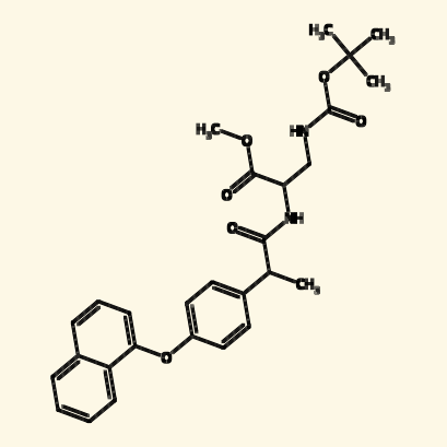 COC(=O)C(CNC(=O)OC(C)(C)C)NC(=O)C(C)c1ccc(Oc2cccc3ccccc23)cc1